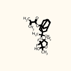 C=C(C)C(=O)OC12CC3CC(C1)CC(C(C)(C)OC1(C)COC(C)(O)C1(F)F)(C3)C2